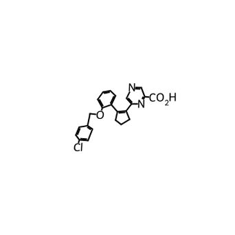 O=C(O)c1cncc(C2=C(c3ccccc3OCc3ccc(Cl)cc3)CCC2)n1